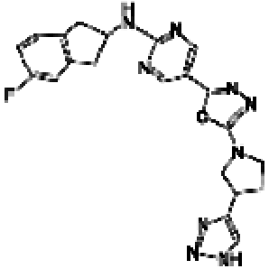 Fc1ccc2c(c1)CC(Nc1ncc(-c3nnc(N4CCC(c5c[nH]nn5)C4)o3)cn1)C2